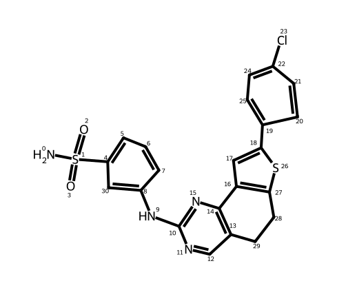 NS(=O)(=O)c1cccc(Nc2ncc3c(n2)-c2cc(-c4ccc(Cl)cc4)sc2CC3)c1